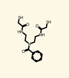 O=C(CS)NCCN(CCNC(=O)CS)C(=O)c1ccccc1